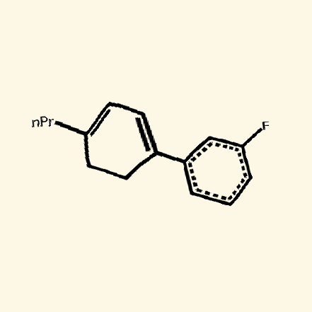 CCCC1=CC=C(c2cccc(F)c2)CC1